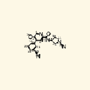 COc1cnc(C(=O)NC2CCN(C#N)C2)cc1-c1cccc(C#N)c1